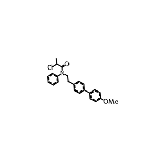 COc1ccc(-c2ccc(CCN(C(=O)C(C)Cl)c3ccccc3)cc2)cc1